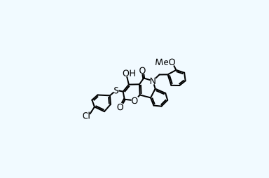 COc1ccccc1Cn1c(=O)c2c(O)c(Sc3ccc(Cl)cc3)c(=O)oc2c2ccccc21